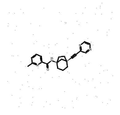 Cc1cccc(C(=O)N[C@@]23CCC[C@@](C#Cc4cnccn4)(CC2)C3)n1